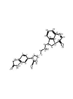 O=C1CSc2ccc(N3C[C@H](CCNCC4Cn5c(=O)cnc6cccc4c65)OC3=O)cc2N1